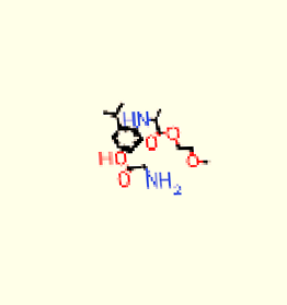 COCCOC(=O)[C@H](C)Nc1ccccc1C(C)C.NCC(=O)O